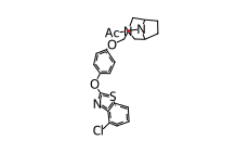 CC(=O)N1CC2CCC(C1)N2CCOc1ccc(Oc2nc3c(Cl)cccc3s2)cc1